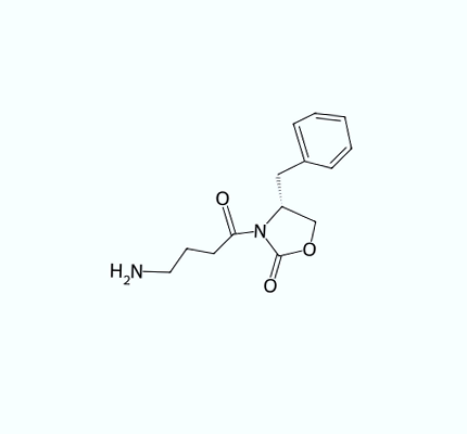 NCCCC(=O)N1C(=O)OC[C@H]1Cc1ccccc1